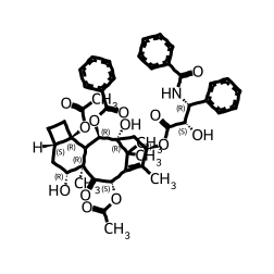 CC(=O)O[C@@H]1C(=O)[C@]2(C)C([C@@H](OC(=O)c3ccccc3)[C@@]3(O)C[C@@H](OC(=O)[C@@H](O)[C@H](NC(=O)c4ccccc4)c4ccccc4)C(C)=C1C3(C)C)[C@@]1(OC(C)=O)CC[C@H]1C[C@H]2O